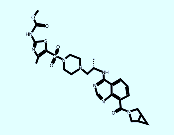 COC(=O)Nc1nc(C)c(S(=O)(=O)N2CCN(C[C@H](C)Nc3ncnc4c(C(=O)N5CC6CC6C5)cccc34)CC2)s1